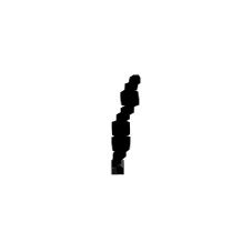 CCCCc1ccc(CCCCC2CCC(C3CCC(C=CC#N)CC3)CC2)cc1